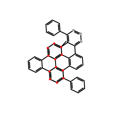 Cc1ccc2c3ccccc3c3ccccc3c2c1-c1c(-c2ccccc2-c2ccccc2)cccc1-c1nnnc(-c2ccccc2)c1-c1ccccc1